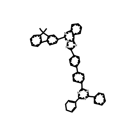 CC1(C)c2ccccc2-c2ccc(-c3nc4ccccc4c4nc(-c5ccc(-c6ccc(-c7nc(C8=CCCC=C8)nc(-c8ccccc8)n7)cc6)cc5)nn34)cc21